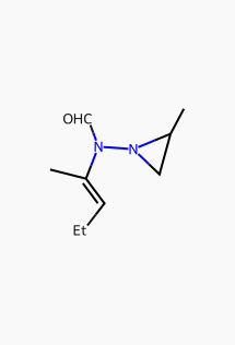 CCC=C(C)N(C=O)N1CC1C